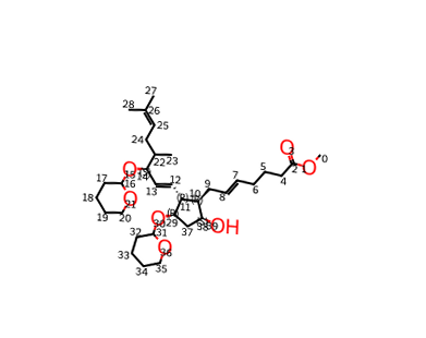 COC(=O)CCCC=CC[C@@H]1[C@@H](C=C[C@@H](OC2CCCCO2)C(C)CC=C(C)C)[C@H](OC2CCCCO2)C[C@@H]1O